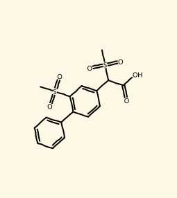 CS(=O)(=O)c1cc(C(C(=O)O)S(C)(=O)=O)ccc1-c1ccccc1